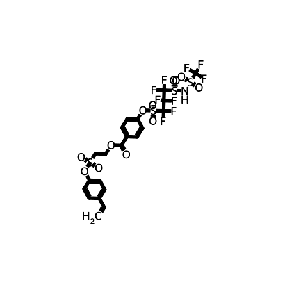 C=Cc1ccc(OS(=O)(=O)CCOC(=O)c2ccc(OS(=O)(=O)C(F)(F)C(F)(F)C(F)(F)S(=O)(=O)NS(=O)(=O)C(F)(F)F)cc2)cc1